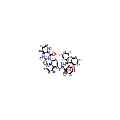 Cn1c(=O)n(-c2ccc(C[C@H](NC(c3ccccc3)(c3ccccc3)c3ccccc3)C(=O)O)c3cccnc23)c(=O)c2ncccc21